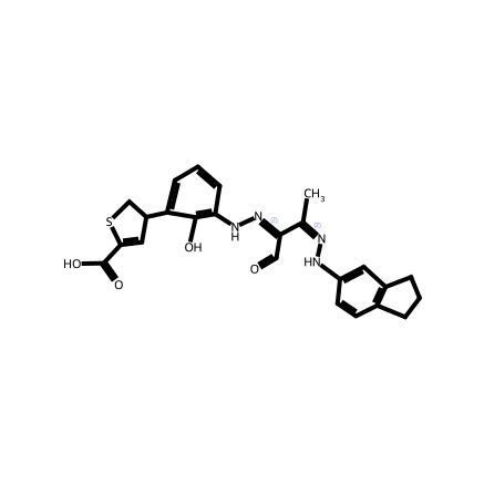 CC(=N/Nc1ccc2c(c1)CCC2)/C(C=O)=N/Nc1cccc(C2C=C(C(=O)O)SC2)c1O